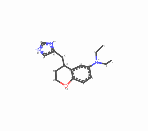 CCN(CC)c1ccc2c(c1)C(Cc1c[nH]cn1)CCO2